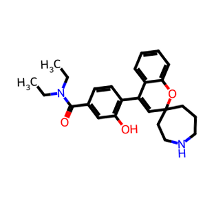 CCN(CC)C(=O)c1ccc(C2=CC3(CCCNCC3)Oc3ccccc32)c(O)c1